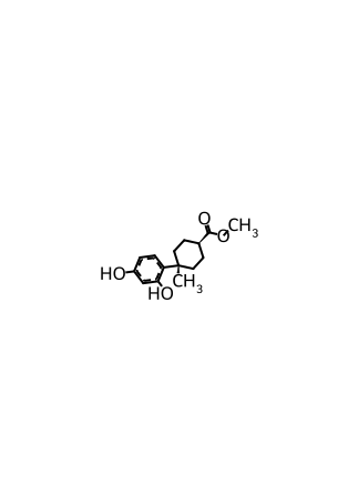 COC(=O)[C@H]1CC[C@](C)(c2ccc(O)cc2O)CC1